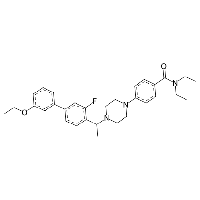 CCOc1cccc(-c2ccc(C(C)N3CCN(c4ccc(C(=O)N(CC)CC)cc4)CC3)c(F)c2)c1